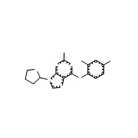 Fc1ccc(Nc2nc(Cl)nc3c2ncn3C2CCCO2)c(F)c1